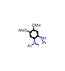 COc1cc(NC(C)C)c(N(C)C(C)=O)cc1OC